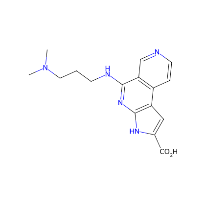 CN(C)CCCNc1nc2[nH]c(C(=O)O)cc2c2ccncc12